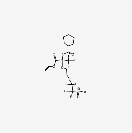 C=COC(=O)C(OCCCC(F)(F)C(F)(F)S(=O)(=O)O)(OC(=O)C1CCCCC1)C(F)(F)F